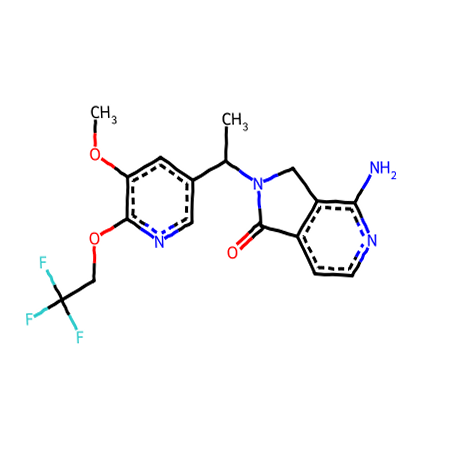 COc1cc(C(C)N2Cc3c(ccnc3N)C2=O)cnc1OCC(F)(F)F